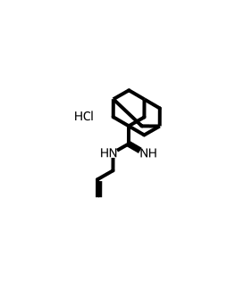 C=CCNC(=N)C12CC3CC(CC(C3)C1)C2.Cl